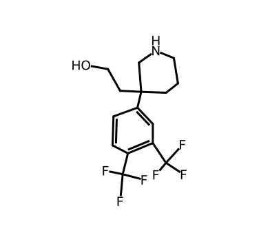 OCCC1(c2ccc(C(F)(F)F)c(C(F)(F)F)c2)CCCNC1